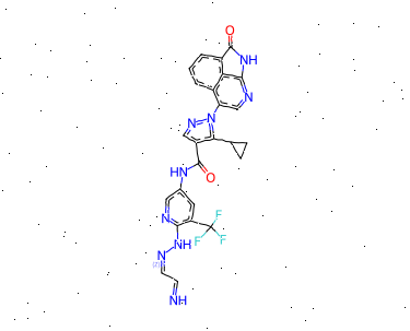 N=C/C=N\Nc1ncc(NC(=O)c2cnn(-c3cnc4c5c(cccc35)C(=O)N4)c2C2CC2)cc1C(F)(F)F